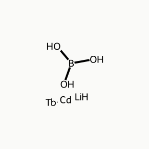 OB(O)O.[Cd].[LiH].[Tb]